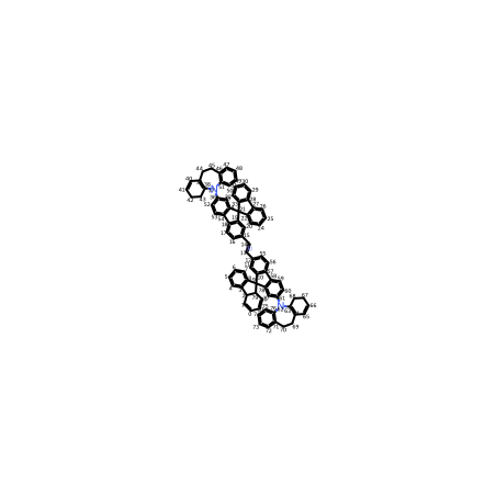 C1=CC2c3ccccc3C3(c4cc(/C=C/c5ccc6c(c5)C5(c7ccccc7-c7ccccc75)c5cc(N7C8=C(C=CCC8)CCc8ccccc87)ccc5-6)ccc4-c4ccc(N5C6=C(C=CCC6)CCc6ccccc65)cc43)C2C=C1